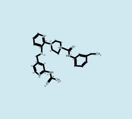 CCc1cccc(NC(=O)N2CCN(c3ncccc3OCc3ccnc(NC(C)=O)c3)CC2)c1